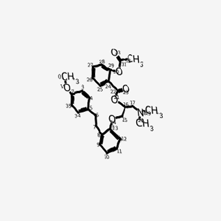 COc1ccc(CCc2ccccc2OC[C@H](CN(C)C)OC(=O)c2ccccc2OC(C)=O)cc1